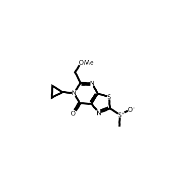 COCc1nc2sc([S+](C)[O-])nc2c(=O)n1C1CC1